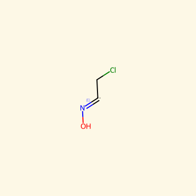 O/N=[C]/CCl